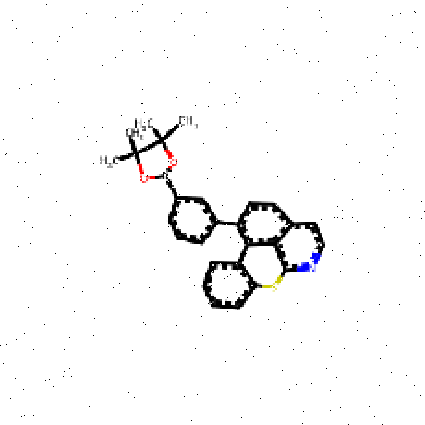 CC1(C)OB(c2cccc(-c3ccc4ccnc5c4c3-c3ccccc3S5)c2)OC1(C)C